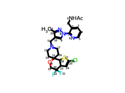 CC(=O)NCc1cccnc1-n1cc(CN2CCC3(CC2)OCC(F)(F)C2C=C(Cl)SC23)c(C)n1